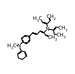 C=CC(=CC)N(/C(C=C)=C/C=C/c1ccc(N(C)C2=CCCC=C2)cc1)/C(=C/C)CC